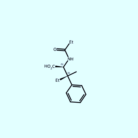 CCC(=O)N[C@H](C(=O)O)[C@@](C)(CC)c1ccccc1